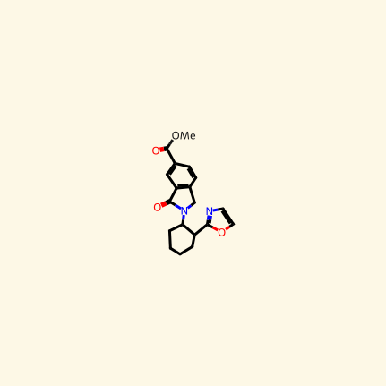 COC(=O)c1ccc2c(c1)C(=O)N(C1CCCCC1c1ncco1)C2